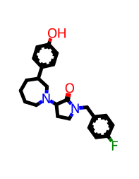 O=C1C(N2CCCCC(c3ccc(O)cc3)C2)CCN1Cc1ccc(F)cc1